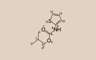 CC(C)C(C)OC(=O)Nc1cccs1